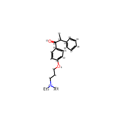 CCN(CC)CCCOc1ccc(C(=O)C(C)c2ccccc2)cc1